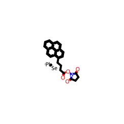 O=C(CCCc1ccc2ccc3cccc4ccc1c2c34)ON1C(=O)CCC1=O.[Se]=[Pb]